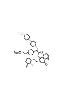 COCCN1CCC(N(Cc2ccc(-c3ccc(C(F)(F)F)cc3)cc2)C(=O)Cn2c(CCc3cccc(F)c3F)cc(=O)c3ncccc32)CC1